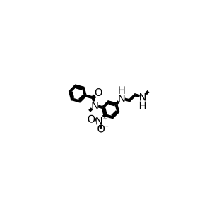 CNCCNc1ccc([N+](=O)[O-])c(N(C)C(=O)c2ccccc2)c1